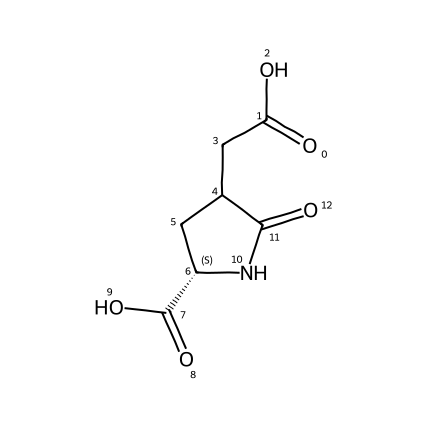 O=C(O)CC1C[C@@H](C(=O)O)NC1=O